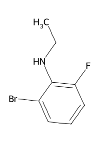 CCNc1c(F)cccc1Br